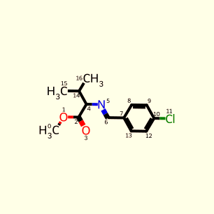 COC(=O)C(N=Cc1ccc(Cl)cc1)C(C)C